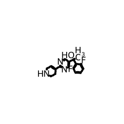 CC(O)(c1cnc(C2=CCNCC2)nc1)c1c(F)cccc1F